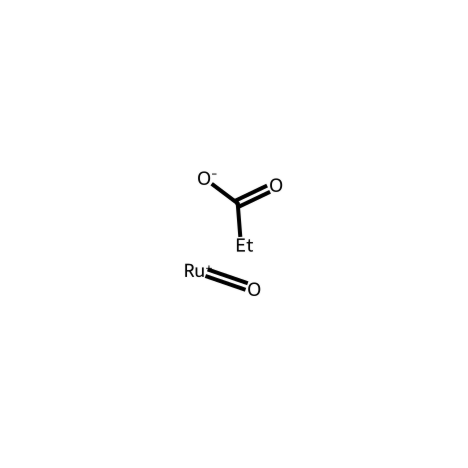 CCC(=O)[O-].[O]=[Ru+]